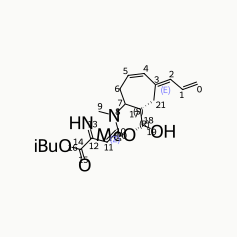 C=C/C=C1/C=CCC(N(C)/C=C\C(=N)C(=O)OCC(C)C)[C@@H]([C@H](O)OC)C1